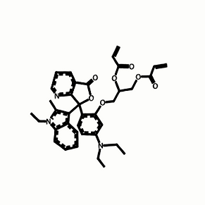 C=CC(=O)OCC(COc1cc(N(CC)CC)ccc1C1(c2c(C)n(CC)c3ccccc23)OC(=O)c2cccnc21)OC(=O)C=C